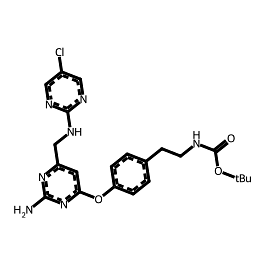 CC(C)(C)OC(=O)NCCc1ccc(Oc2cc(CNc3ncc(Cl)cn3)nc(N)n2)cc1